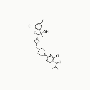 CN(C)C(=O)c1ccc(N2CCC(CC3CN(C(=O)C(C)(O)c4cc(F)cc(Cl)c4)C3)CC2)nc1Cl